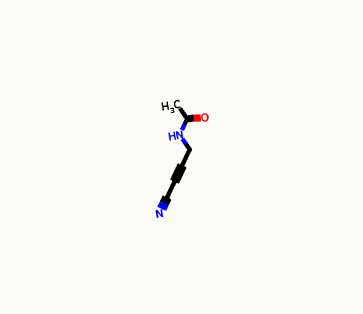 CC(=O)NCC#CC#N